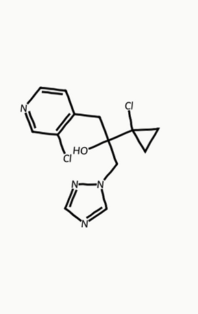 OC(Cc1ccncc1Cl)(Cn1cncn1)C1(Cl)CC1